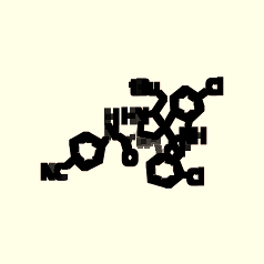 CC(C)(C)CC1N[C@@H](C(=O)Nc2ccc(C#N)cc2)[C@@H](c2cccc(Cl)c2F)C12C(=O)Nc1cc(Cl)ccc12